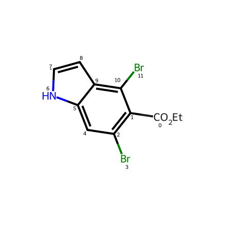 CCOC(=O)c1c(Br)cc2[nH][c]cc2c1Br